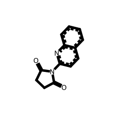 O=C1CCC(=O)N1c1ccc2ccccc2n1